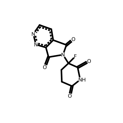 O=C1CCC(F)(N2C(=O)c3ccnnc3C2=O)C(=O)N1